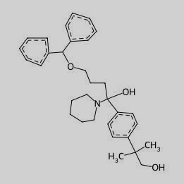 CC(C)(CO)c1ccc(C(O)(CCCOC(c2ccccc2)c2ccccc2)N2CCCCC2)cc1